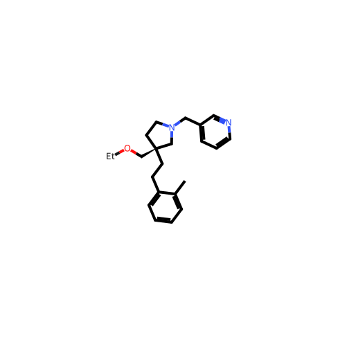 CCOC[C@@]1(CCc2ccccc2C)CCN(Cc2cccnc2)C1